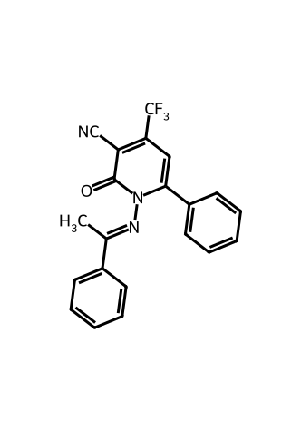 CC(=Nn1c(-c2ccccc2)cc(C(F)(F)F)c(C#N)c1=O)c1ccccc1